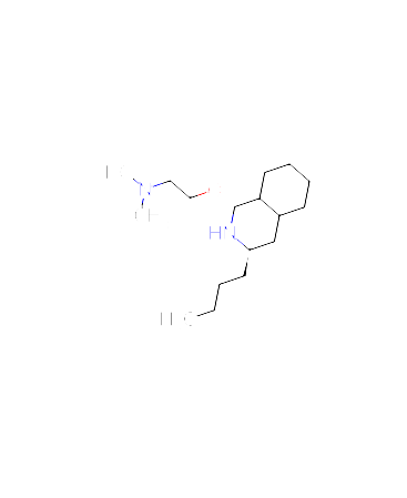 CCCC[C@@H]1CC2CCCCC2[C@@H](OCCN(C)C)N1